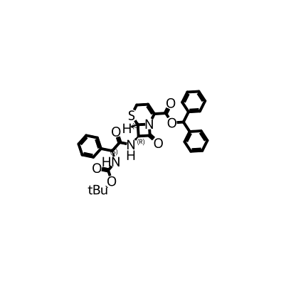 CC(C)(C)OC(=O)N[C@H](C(=O)N[C@@H]1C(=O)N2C(C(=O)OC(c3ccccc3)c3ccccc3)=CCS[C@@H]12)c1ccccc1